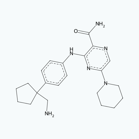 NCC1(c2ccc(Nc3nc(N4CCCCC4)cnc3C(N)=O)cc2)CCCC1